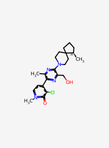 Cc1nc(N2CCC3(CCC[C@H]3C)CC2)c(CO)nc1-c1ccn(C)c(=O)c1Cl